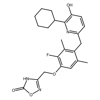 Cc1cc(OCc2noc(=O)[nH]2)c(F)c(C)c1Cc1ccc(O)c(C2CCCCC2)n1